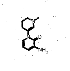 CN1C=C(n2cccc(N)c2=O)CCC1